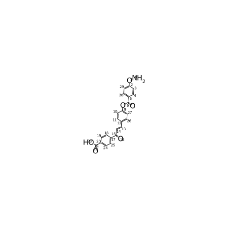 NOc1ccc(C(=O)Oc2ccc(C=CC(=O)c3ccc(C(=O)O)cc3)cc2)cc1